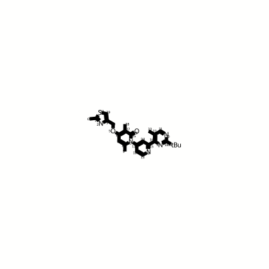 Cc1nc(COc2cc(C)n(-c3ccnc(-c4nc(C(C)(C)C)ncc4C)c3)c(=O)c2C)cs1